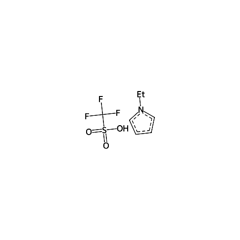 CCn1cccc1.O=S(=O)(O)C(F)(F)F